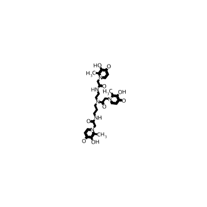 Cc1c(O)c(=O)ccn1CC(=O)NCCCN(CCNC(=O)Cn1ccc(=O)c(O)c1C)C(=O)Cn1ccc(=O)c(O)c1C